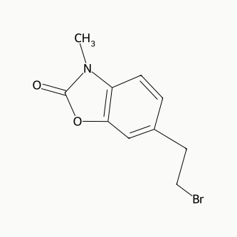 Cn1c(=O)oc2cc(CCBr)ccc21